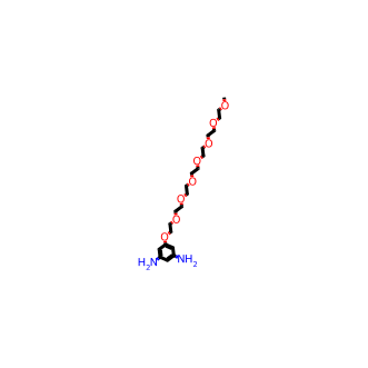 COCCOCCOCCOCCOCCOCCOCCOc1cc(N)cc(N)c1